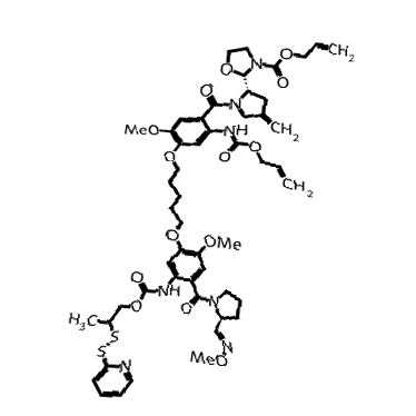 C=CCOC(=O)Nc1cc(OCCCCCOc2cc(NC(=O)OCC(C)SSc3ccccn3)c(C(=O)N3CCC[C@H]3/C=N/OC)cc2OC)c(OC)cc1C(=O)N1CC(=C)C[C@H]1C1OCCN1C(=O)OCC=C